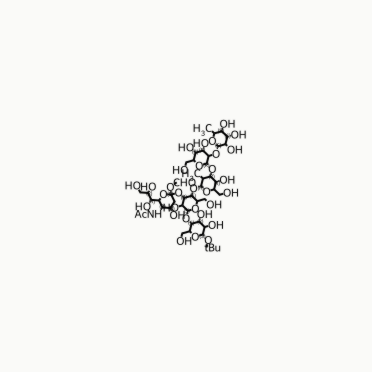 CC(=O)N[C@H]1C([C@H](O)[C@H](O)CO)O[C@](OC=O)(O[C@@H]2C(O)[C@H](O[C@@H]3C(CO)O[C@@H](OC(C)(C)C)C(O)[C@H]3O)OC(CO)[C@@H]2O[C@H]2OC(CO)[C@H](O)[C@H](O[C@@H]3OC(CO)[C@H](O)[C@H](O)C3O[C@@H]3OC(C)[C@@H](O)[C@H](O)C3O)C2C)C[C@H]1O